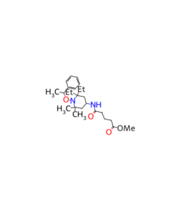 CCC1(CC)CC(NC(=O)CCCC(=O)OC)CC(C)(C)N1OC(C)c1ccccc1